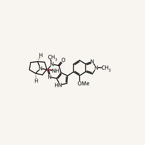 COc1c(-c2c[nH]c3nc(N4[C@@H]5CC[C@H]4C[C@@H](N)C5)n(C)c(=O)c23)ccc2nn(C)cc12